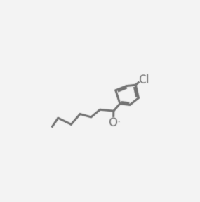 CCCCCCC([O])c1ccc(Cl)cc1